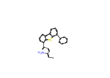 C=C(/C=C\C(N)=C/C)c1cccc2c1sc1c(-c3ccccc3)cccc12